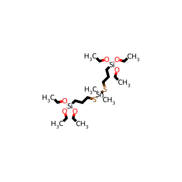 CCO[Si](CCC[S][Sn]([CH3])([CH3])[S]CCC[Si](OCC)(OCC)OCC)(OCC)OCC